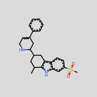 CC1CC(C2CC(c3ccccc3)=CCN2)Cc2c1[nH]c1cc(S(C)(=O)=O)ccc21